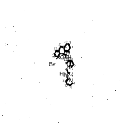 O=C(C[N+]12CCC(CC1)[C@@H](OC(=O)C1(O)c3ccccc3Cc3ccccc31)C2)Nc1ccccn1.[Br-]